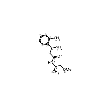 COCC(C)NC(=O)C[C@H](N)c1ccccc1C